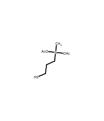 CC(=O)O[Si](C)(CCCS)OC(C)=O